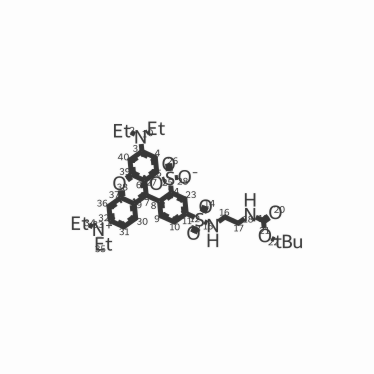 CCN(CC)c1ccc2c(-c3ccc(S(=O)(=O)NCCNC(=O)OC(C)(C)C)cc3S(=O)(=O)[O-])c3ccc(=[N+](CC)CC)cc-3oc2c1